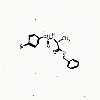 C[C@H](N[PH](=O)Oc1ccc(Br)cc1)C(=O)OCc1ccccc1